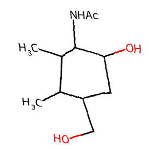 CC(=O)NC1C(O)CC(CO)C(C)C1C